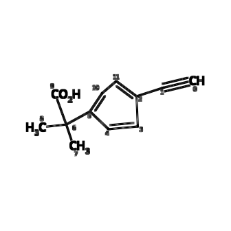 C#Cc1ccc(C(C)(C)C(=O)O)cc1